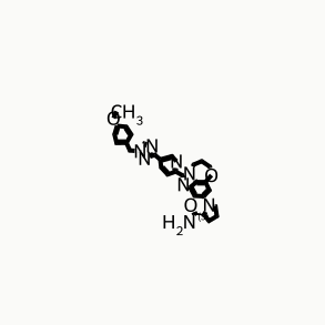 COc1ccc(Cn2cnc(-c3ccc(-c4nc5cc(N6CCC[C@H]6C(N)=O)cc6c5n4CCCO6)nc3)n2)cc1